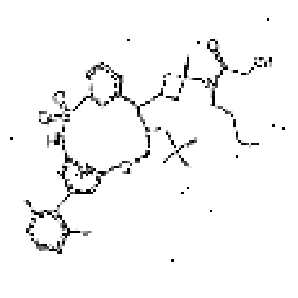 CCCCN(C(=O)CO)C1(C)CC(C2c3cccc(c3)S(=O)(=O)Nc3nc(cc(-c4c(C)cccc4C)n3)OC[C@H]2CC(C)(C)C)C1